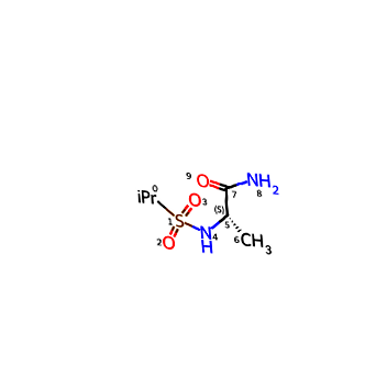 CC(C)S(=O)(=O)N[C@@H](C)C(N)=O